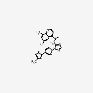 C[C@@H](c1ncnn1-c1ccc(-c2nc(C(F)(F)F)cs2)cn1)N(C)c1ncnc2c(C(F)(F)F)cc(Cl)cc12